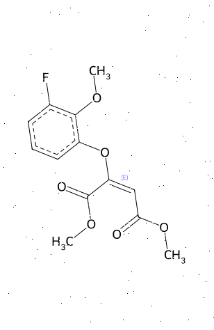 COC(=O)/C=C(/Oc1cccc(F)c1OC)C(=O)OC